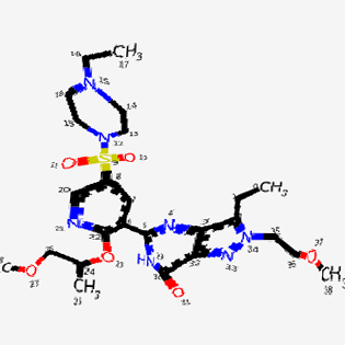 CCc1c2nc(-c3cc(S(=O)(=O)N4CCN(CC)CC4)cnc3OC(C)COC)[nH]c(=O)c2nn1CCOC